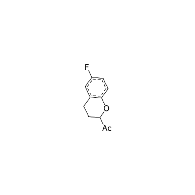 CC(=O)C1CCc2cc(F)ccc2O1